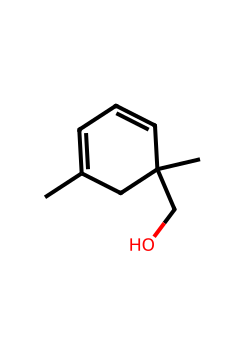 CC1=CC=CC(C)(CO)C1